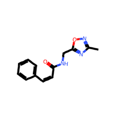 Cc1noc(CNC(=O)/C=C\c2ccccc2)n1